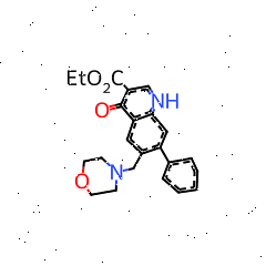 CCOC(=O)c1c[nH]c2cc(-c3ccccc3)c(CN3CCOCC3)cc2c1=O